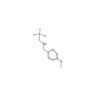 COc1ccc(CNCC(F)(F)F)cc1